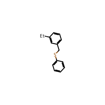 CCc1cccc(CSc2ccccc2)c1